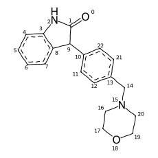 O=C1Nc2ccccc2C1c1ccc(CN2CCOCC2)cc1